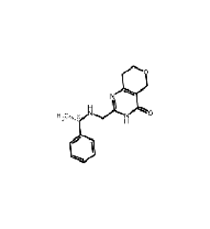 C[C@H](NCc1nc2c(c(=O)[nH]1)COCC2)c1ccccc1